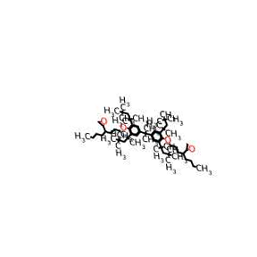 CCCCC(CCCOc1c(C(C)(C)CC(C)(C)C)cc(C(C)(C)c2cc(C(C)(C)CC(C)(C)C)c(OCCCC(CCCC)C3CO3)c(C(C)(C)CC(C)(C)C)c2)cc1C(C)(C)CC(C)(C)C)C1CO1